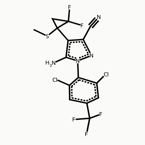 CSC1(c2c(C#N)nn(-c3c(Cl)cc(C(F)(F)F)cc3Cl)c2N)CC1(F)F